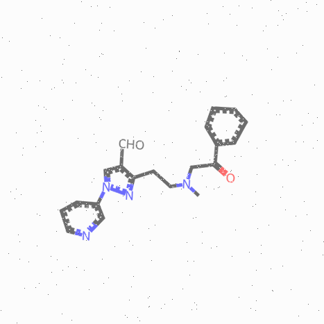 CN(CCc1nn(-c2cccnc2)cc1C=O)CC(=O)c1ccccc1